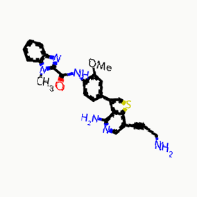 COc1cc(-c2csc3c(C#CCN)cnc(N)c23)ccc1NC(=O)c1nc2ccccc2n1C